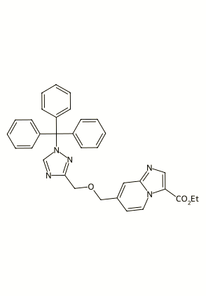 CCOC(=O)c1cnc2cc(COCc3ncn(C(c4ccccc4)(c4ccccc4)c4ccccc4)n3)ccn12